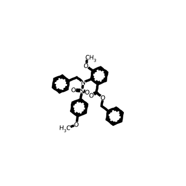 COc1ccc(S(=O)(=O)N(Cc2ccccc2)c2c(OC)cccc2C(=O)OCc2ccccc2)cc1